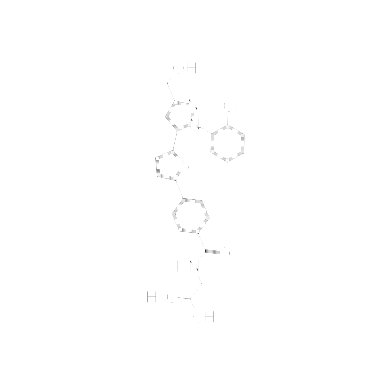 CC(C)CNC(=O)c1ccc(-c2ccc(-c3cc(CO)nn3-c3ccccc3Cl)s2)cc1